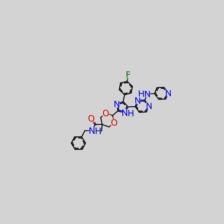 CC1(C(=O)NCc2ccccc2)COC(c2nc(-c3ccc(F)cc3)c(-c3ccnc(Nc4ccncc4)n3)[nH]2)OC1